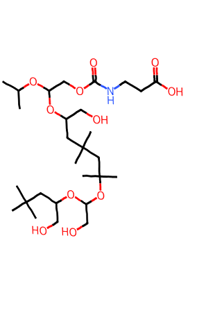 CC(C)OC(COC(=O)NCCC(=O)O)OC(CO)CC(C)(C)CC(C)(C)OC(CO)OC(CO)CC(C)(C)C